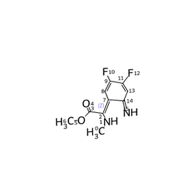 CN/C(C(=O)OC)=C1/C=C(F)C(F)=CC1=N